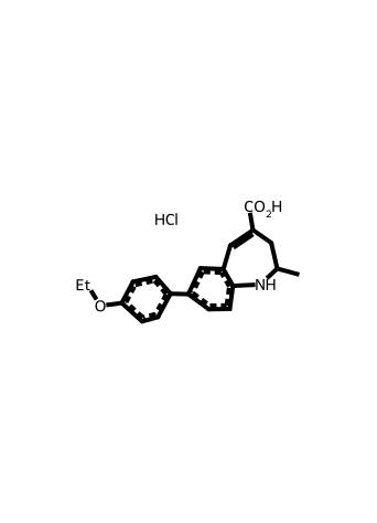 CCOc1ccc(-c2ccc3c(c2)C=C(C(=O)O)CC(C)N3)cc1.Cl